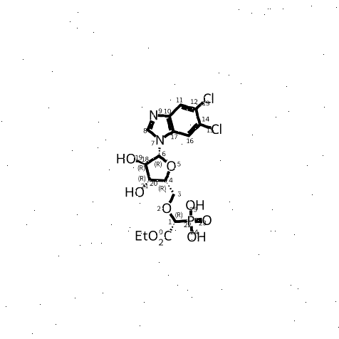 CCOC(=O)[C@H](OC[C@H]1O[C@@H](n2cnc3cc(Cl)c(Cl)cc32)[C@H](O)[C@H]1O)P(=O)(O)O